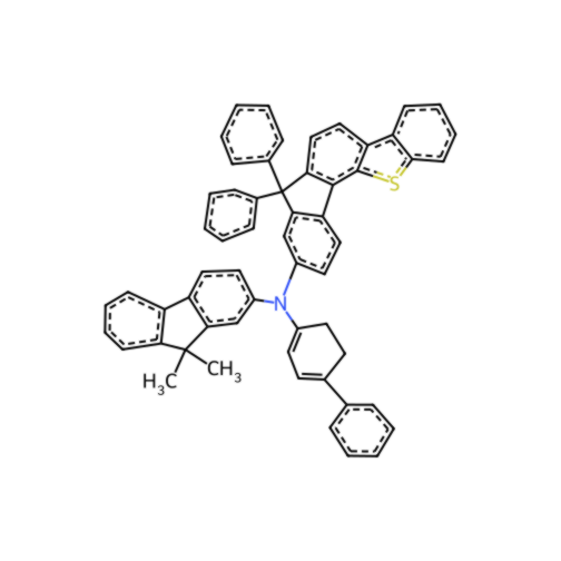 CC1(C)c2ccccc2-c2ccc(N(C3=CC=C(c4ccccc4)CC3)c3ccc4c(c3)C(c3ccccc3)(c3ccccc3)c3ccc5c(sc6ccccc65)c3-4)cc21